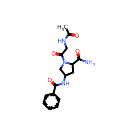 CC(=O)NCC(=O)N1CC(NC(=O)c2ccccc2)CC1C(N)=O